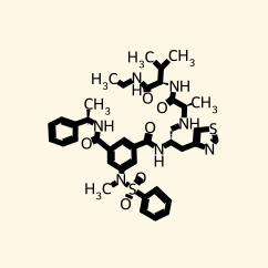 CCNC(=O)[C@@H](NC(=O)[C@H](C)NC[C@H](Cc1cscn1)NC(=O)c1cc(C(=O)N[C@H](C)c2ccccc2)cc(N(C)S(=O)(=O)c2ccccc2)c1)C(C)C